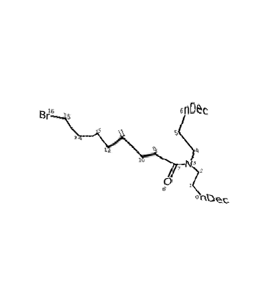 CCCCCCCCCCCCN(CCCCCCCCCCCC)C(=O)CCCCCCCBr